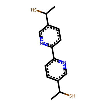 CC(S)c1ccc(-c2ccc(C(C)S)cn2)nc1